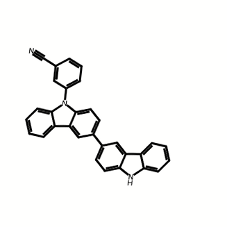 N#Cc1cccc(-n2c3ccccc3c3cc(-c4ccc5[nH]c6ccccc6c5c4)ccc32)c1